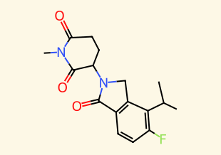 CC(C)c1c(F)ccc2c1CN(C1CCC(=O)N(C)C1=O)C2=O